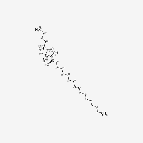 CCCCCCCCC=CCCCCCCCC(=O)C(O)C(O)(CO)C(=O)CCCCC